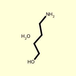 NCCCCO.O